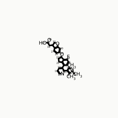 Cc1nn(C)c(C)c1-c1ncccc1-c1ccc(F)c2c1CC[C@H]2Oc1ccc2c(c1)OCC2CC(=O)O